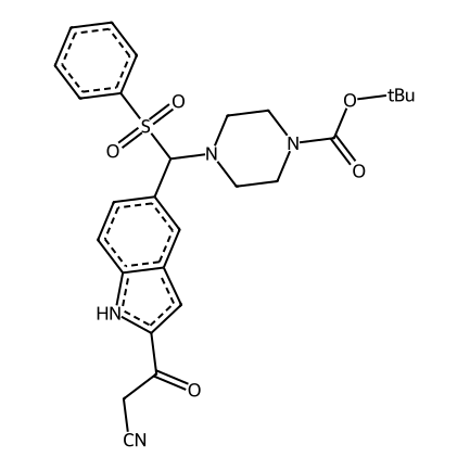 CC(C)(C)OC(=O)N1CCN(C(c2ccc3[nH]c(C(=O)CC#N)cc3c2)S(=O)(=O)c2ccccc2)CC1